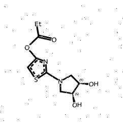 CCC(=O)Oc1csc(N2C[C@@H](O)[C@@H](O)C2)n1